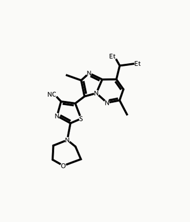 CCC(CC)c1cc(C)nn2c(-c3sc(N4CCOCC4)nc3C#N)c(C)nc12